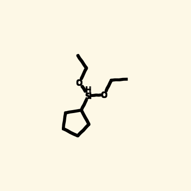 CCO[SiH](OCC)C1CCCC1